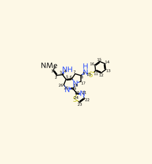 CN/C=C\C(=N)C1=C2CC(NSc3ccccc3)CN2C(c2nccs2)=NC1